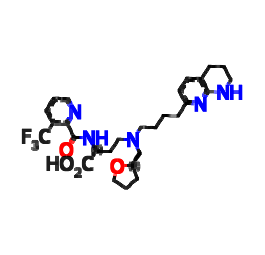 O=C(N[C@@H](CCN(CCCCc1ccc2c(n1)NCCC2)C[C@H]1CCCO1)C(=O)O)c1ncccc1C(F)(F)F